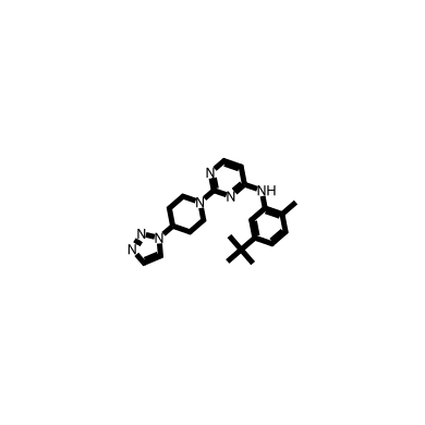 Cc1ccc(C(C)(C)C)cc1Nc1ccnc(N2CCC(n3ccnn3)CC2)n1